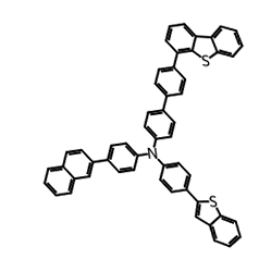 c1ccc2cc(-c3ccc(N(c4ccc(-c5ccc(-c6cccc7c6sc6ccccc67)cc5)cc4)c4ccc(-c5cc6ccccc6s5)cc4)cc3)ccc2c1